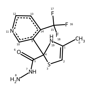 CC1=CSC(C(=O)NN)(c2cnccc2C(F)(F)F)N1